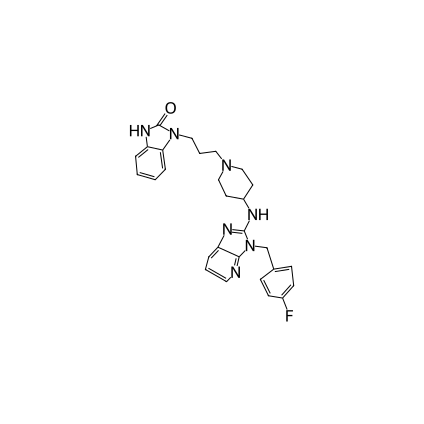 O=c1[nH]c2ccccc2n1CCCN1CCC(Nc2nc3cccnc3n2Cc2ccc(F)cc2)CC1